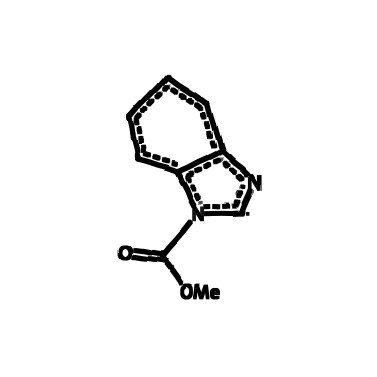 COC(=O)n1[c]nc2ccccc21